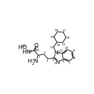 NC(CCc1nc2ccccc2n1CC1CCCCC1)C(=O)NO